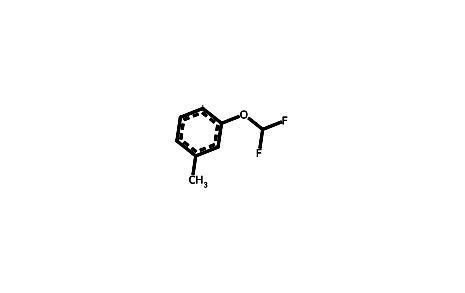 Cc1cc[c]c(OC(F)F)c1